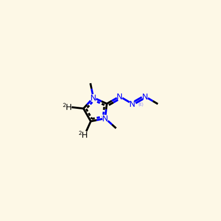 [2H]c1c([2H])n(C)c(=N/N=N/C)n1C